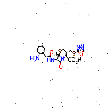 Nc1ccccc1CC(=O)NC1C(=O)N2C(C(=O)O)=C(CSc3nnco3)CS[C@@H]12